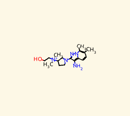 Cc1ccc2c(N)c(N3CCC([N+](C)(C)CCO)C3)nn2c1C